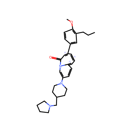 CCCc1cc(C2=C\C(=O)N3C=C(N4CCC(CN5CCCC5)CC4)C=C\C3=C/C=C/2)ccc1OC